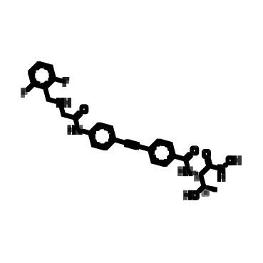 C[C@@H](O)[C@H](NC(=O)c1ccc(C#Cc2ccc(NC(=O)CNCc3c(F)cccc3F)cc2)cc1)C(=O)NO